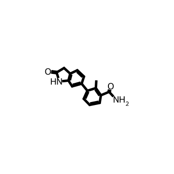 Cc1c(C(N)=O)cccc1-c1ccc2c(c1)NC(=O)C2